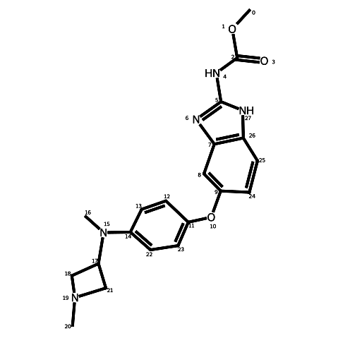 COC(=O)Nc1nc2cc(Oc3ccc(N(C)C4CN(C)C4)cc3)ccc2[nH]1